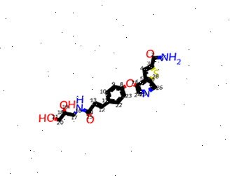 NC(=O)c1cc2c(Oc3ccc(C=CC(=O)NCC(O)CO)cc3)cncc2s1